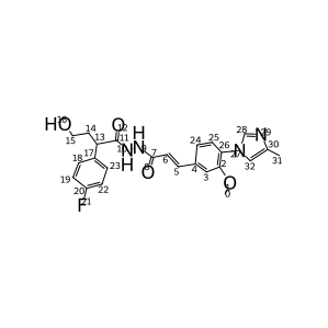 COc1cc(/C=C/C(=O)NNC(=O)C(CCO)c2ccc(F)cc2)ccc1-n1cnc(C)c1